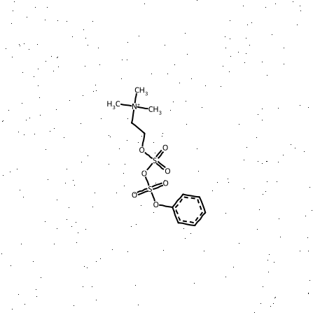 C[N+](C)(C)CCOS(=O)(=O)OS(=O)(=O)Oc1ccccc1